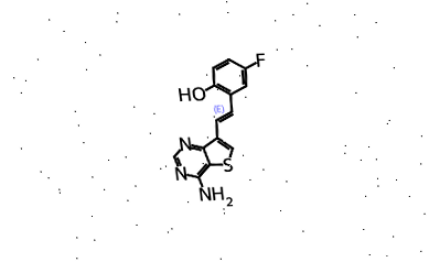 Nc1ncnc2c(/C=C/c3cc(F)ccc3O)csc12